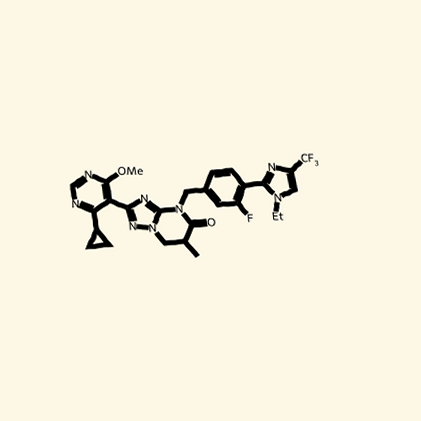 CCn1cc(C(F)(F)F)nc1-c1ccc(CN2C(=O)C(C)Cn3nc(-c4c(OC)ncnc4C4CC4)nc32)cc1F